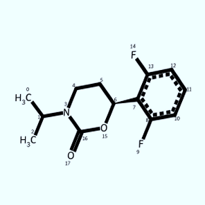 CC(C)N1CC[C@@H](c2c(F)cccc2F)OC1=O